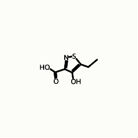 CCc1snc(C(=O)O)c1O